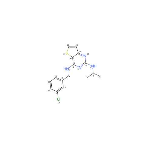 CC(C)Nc1nc(NCc2cccc(Cl)c2)c2sccc2n1